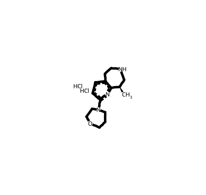 C[C@@H]1CNCCc2ccc(N3CCCOCC3)nc21.Cl.Cl